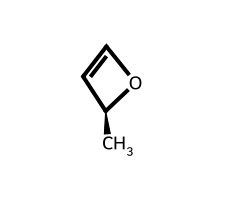 C[C@H]1C=CO1